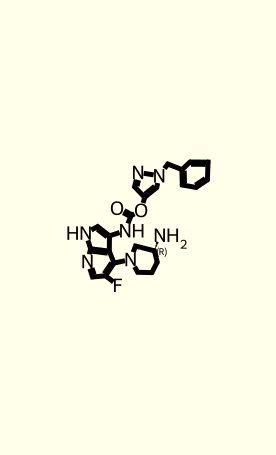 N[C@@H]1CCCN(c2c(F)cnc3[nH]cc(NC(=O)Oc4cnn(Cc5ccccc5)c4)c23)C1